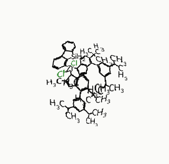 CC1=Cc2c(ccc(C(C)(C)C)c2-c2cc(C(C)C)cc(C(C)C)c2)[CH]1[Zr]([Cl])([Cl])([c]1cccc2c1[SiH2]c1ccccc1-2)[CH]1C(C)=Cc2c1ccc(C(C)(C)C)c2-c1cc(C(C)C)cc(C(C)C)c1